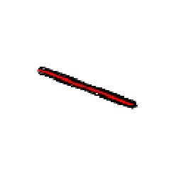 CCOCCOCCOCCOCCOCCOCCOCCOCCOCCOCCOCCOCCOCCOCCOCCOCCOCCOCCOCCOCCOCCOCCOCCOCCOCCOCCOCCOCCOCCOCCOCCOCCOCCOCCOCCOCCOCCOCCOCCOCOI